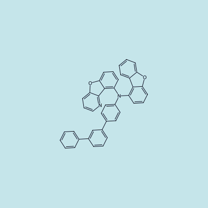 c1ccc(-c2cccc(-c3ccc(N(c4cccc5oc6ccccc6c45)c4cccc5oc6cccnc6c45)cc3)c2)cc1